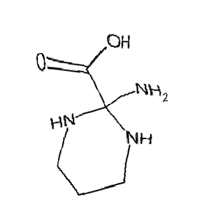 NC1(C(=O)O)NCCCN1